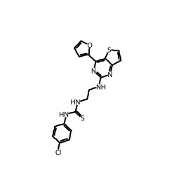 S=C(NCCNc1nc(-c2ccco2)c2sccc2n1)Nc1ccc(Cl)cc1